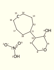 O=[N+]([O-])O.OC1COCCC1C1CCCCCCC1